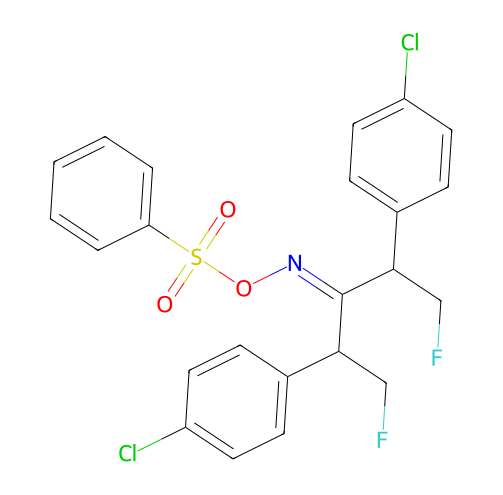 O=S(=O)(ON=C(C(CF)c1ccc(Cl)cc1)C(CF)c1ccc(Cl)cc1)c1ccccc1